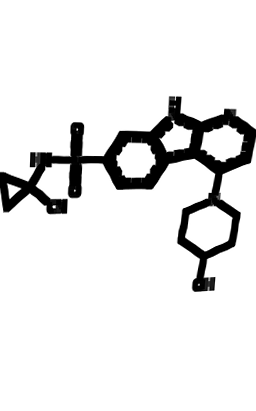 N#CC1(NS(=O)(=O)c2ccc3c(c2)[nH]c2nccc(N4CCC(O)CC4)c23)CC1